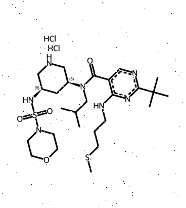 CSCCCNc1nc(C(C)(C)C)ncc1C(=O)N(CC(C)C)[C@@H]1CNC[C@H](NS(=O)(=O)N2CCOCC2)C1.Cl.Cl